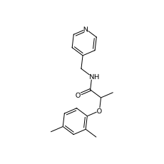 Cc1ccc(OC(C)C(=O)NCc2ccncc2)c(C)c1